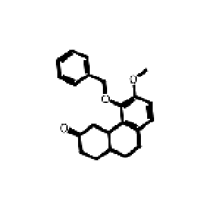 COc1ccc2c(c1OCc1ccccc1)C1CC(=O)CCC1CC2